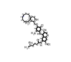 CCOc1cc2ncc(C#N)c(Nc3cc(Cl)c(OCC4NCCC5(CCC/C=C\CCCC5)C4C)cc3C)c2cc1NC(=O)CCCN(C)C